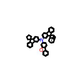 c1ccc2c(c1)-c1cc(N(c3ccc4c(c3)C3(c5ccccc5-4)C4CCC5CC(C4)CC3C5)c3ccc4c(c3)oc3ccccc34)ccc1C21CCCC1